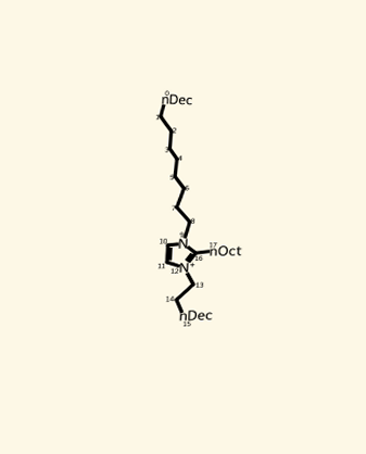 CCCCCCCCCCCCCCCCCCn1cc[n+](CCCCCCCCCCCC)c1CCCCCCCC